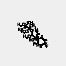 CC(O[Si](C)(C)C(C)(C)C)C(O)(CCl)c1ccc(F)cc1F